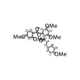 COc1ccc(C=CC(=O)c2c(OC)cc(OC)cc2OC(=O)c2ccc(OC)cc2OC)cc1